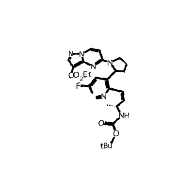 C=NC(/C=C\[C@@H](C)NC(=O)OC(C)(C)C)=C(\C=C(/C)F)C1CCCN1c1ccn2ncc(C(=O)OCC)c2n1